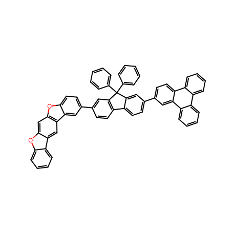 c1ccc(C2(c3ccccc3)c3cc(-c4ccc5oc6cc7oc8ccccc8c7cc6c5c4)ccc3-c3ccc(-c4ccc5c6ccccc6c6ccccc6c5c4)cc32)cc1